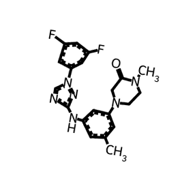 Cc1cc(Nc2ncn(-c3cc(F)cc(F)c3)n2)cc(N2CCN(C)C(=O)C2)c1